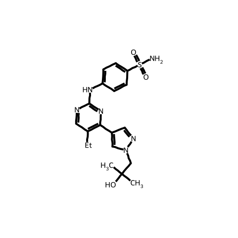 CCc1cnc(Nc2ccc(S(N)(=O)=O)cc2)nc1-c1cnn(CC(C)(C)O)c1